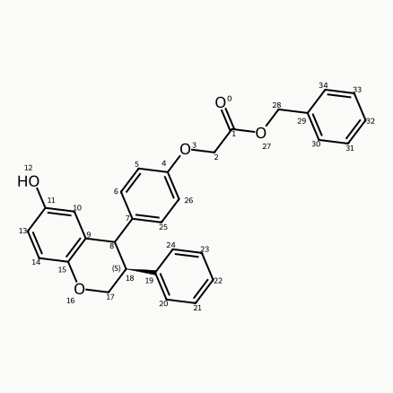 O=C(COc1ccc(C2c3cc(O)ccc3OC[C@@H]2c2ccccc2)cc1)OCc1ccccc1